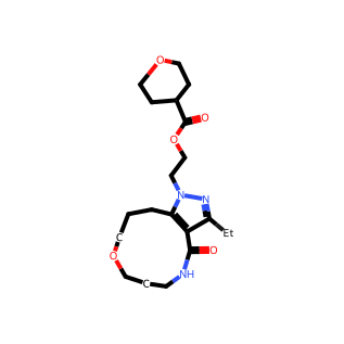 CCc1nn(CCOC(=O)C2CCOCC2)c2c1C(=O)NCCCOCCC2